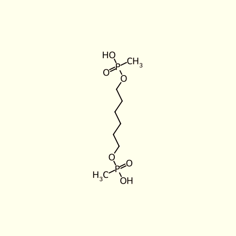 CP(=O)(O)OCCCCCCOP(C)(=O)O